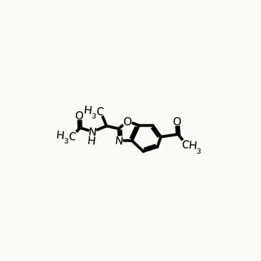 CC(=O)NC(C)c1nc2ccc(C(C)=O)cc2o1